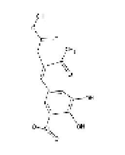 COC(=O)CC(=Cc1cc(O)c(O)c([N+](=O)[O-])c1)C(C)=O